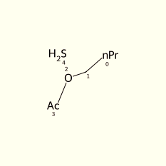 CCCCOC(C)=O.S